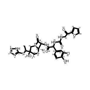 CC(Sc1nnn[nH]1)C1(C(=O)O)CS[C@@H]2C(NC(=O)C(NC(=O)NCC(=O)c3ccco3)c3ccc(O)c(Cl)c3)C(=O)N2C1